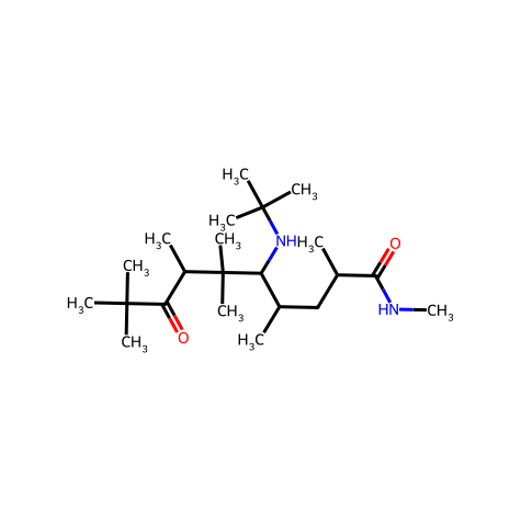 CNC(=O)C(C)CC(C)C(NC(C)(C)C)C(C)(C)C(C)C(=O)C(C)(C)C